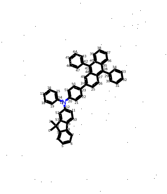 CC1(C)c2ccccc2-c2ccc(N(c3ccccc3)c3ccc(-c4ccc5c(-c6ccccc6)c6ccccc6c(-c6ccccc6)c5c4)cc3)cc21